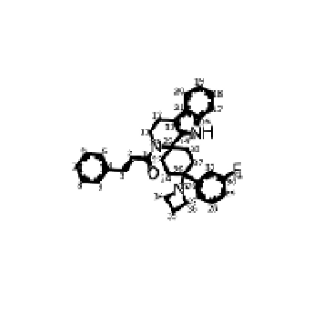 O=C(C=Cc1ccccc1)N1CCc2c([nH]c3ccccc23)C12CCC(c1cccc(F)c1)(N1CCC1)CC2